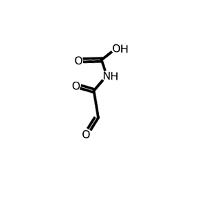 O=CC(=O)NC(=O)O